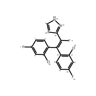 FC(=C(c1ccc(F)cc1Cl)c1ccc(F)cc1Cl)c1nc[nH]n1